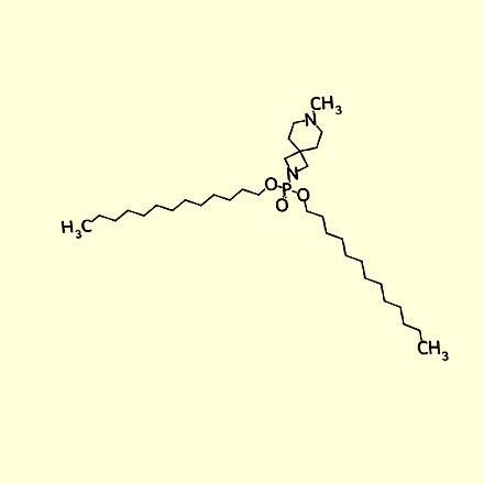 CCCCCCCCCCCCCOP(=O)(OCCCCCCCCCCCCC)N1CC2(CCN(C)CC2)C1